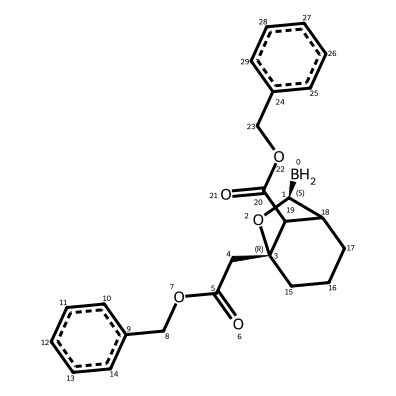 B[C@@H]1O[C@@]2(CC(=O)OCc3ccccc3)CCCC1C2C(=O)OCc1ccccc1